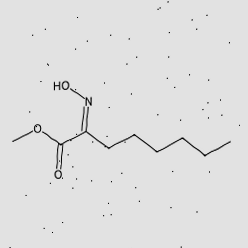 CCCCCCC(=NO)C(=O)OC